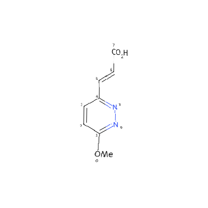 COc1ccc(C=CC(=O)O)nn1